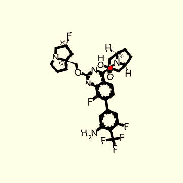 Nc1cc(-c2ccc3c(N4C[C@H]5CC[C@@H](C4)N5C(=O)O)nc(OC[C@@]45CCCN4C[C@H](F)C5)nc3c2F)cc(F)c1C(F)(F)F